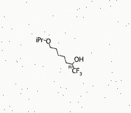 CC(C)OCCCCC[C@@H](O)C(F)(F)F